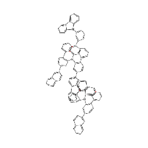 c1ccc(-c2ccc(-c3ccc4ccccc4c3)cc2N(c2ccc(-c3cccc(-n4c5ccccc5c5ccccc54)c3)cc2)c2cc(-c3ccc4c5ccccc5n(-c5ccccc5N(c5ccccc5-c5ccccc5)c5cc(-c6ccc7ccccc7c6)ccc5-c5ccccc5)c4c3)ccc2-c2ccccc2)cc1